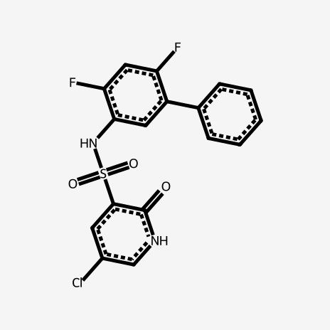 O=c1[nH]cc(Cl)cc1S(=O)(=O)Nc1cc(-c2ccccc2)c(F)cc1F